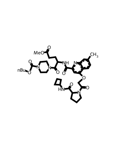 CCCCOC(=O)N1CCN(C(=O)C(CCC(=O)OC)NC(=O)c2cc(OCC(=O)N3CCCC3C(=O)NC3CCC3)c3ccc(C)cc3n2)CC1